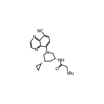 CC(C)(C)CC(=O)N[C@@H]1C[C@H](C2CC2)CN(c2ccc(C#N)c3nccnc23)C1